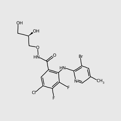 Cc1cnc(Nc2c(C(=O)NOC[C@H](O)CO)cc(Cl)c(F)c2F)c(Br)c1